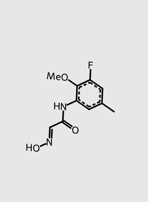 COc1c(F)cc(C)cc1NC(=O)C=NO